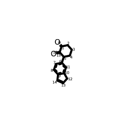 O=C1CCCC(c2ccc3c(c2)CC=C3)C1=O